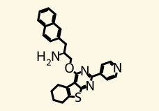 N[C@H](COc1nc(-c2ccncc2)nc2sc3c(c12)CCCC3)Cc1ccc2ccccc2c1